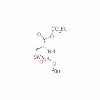 CCOC(=O)OC(=O)[C@H](CSC)NC(=O)OC(C)(C)C